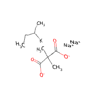 CC(C)(C(=O)[O-])C(=O)[O-].CC[CH](C)[K].[Na+].[Na+]